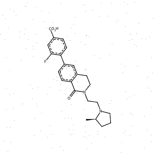 C[C@@H]1CCCN1CCN1CCc2cc(-c3ccc(C(=O)O)cc3F)ccc2C1=O